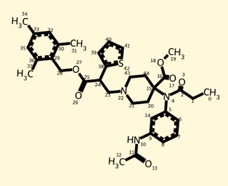 CCC(=O)N(c1cccc(NC(C)=O)c1)C1(C(=O)OC)CCN(CC(C(=O)OCc2c(C)cc(C)cc2C)c2cccs2)CC1